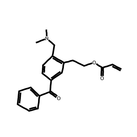 C=CC(=O)OCCc1cc(C(=O)c2ccccc2)ccc1CN(C)C